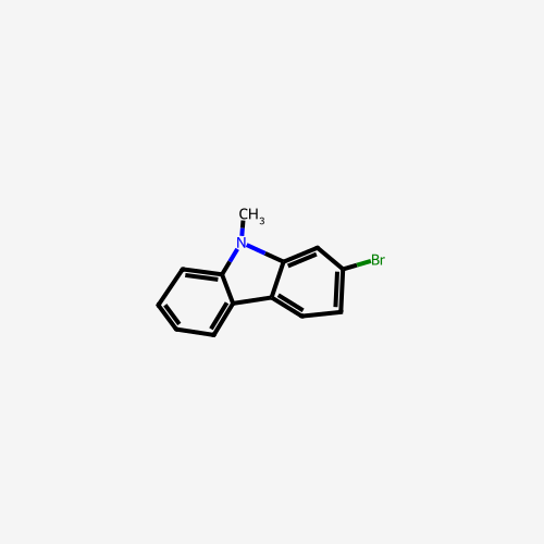 Cn1c2ccccc2c2ccc(Br)cc21